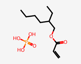 C=CC(=O)OCC(CC)CCCC.O=P(O)(O)O